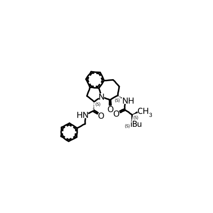 CC[C@H](C)[C@H](C)C(=O)N[C@H]1CCc2cccc3c2N(C1=O)[C@H](C(=O)NCc1ccccc1)C3